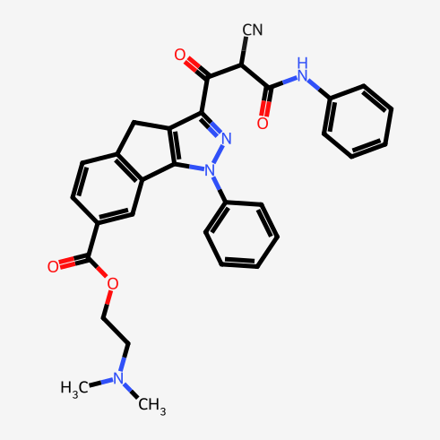 CN(C)CCOC(=O)c1ccc2c(c1)-c1c(c(C(=O)C(C#N)C(=O)Nc3ccccc3)nn1-c1ccccc1)C2